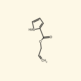 C=CCOC(=O)C1=CC=C[AsH]1